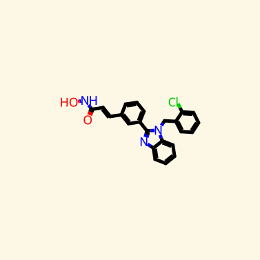 O=C(C=Cc1cccc(-c2nc3ccccc3n2Cc2ccccc2Cl)c1)NO